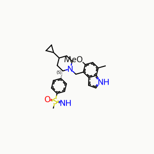 COc1cc(C)c2[nH]ccc2c1CN1CCC(C2CC2)C[C@H]1c1ccc(S(C)(=N)=O)cc1